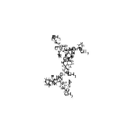 C=CC(=O)N1CCN(c2nc(OC[C@@H]3CC(c4ccc(C)c5c(-c6ncc7c(N8CCN(C(=O)/C=C/COC)[C@@H](CC#N)C8)nc(OCC8CCCN8C)nc7c6F)cccc45)CN3C)nc3c(F)c(-c4ccccc4F)ncc23)C[C@@H]1CC#N